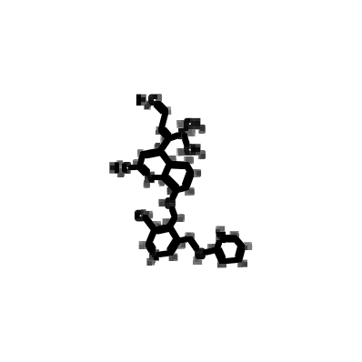 C=C/C=C(/c1cc(C)nc2c(OCc3c(Cl)cncc3COc3ccccn3)cccc12)N(C)C